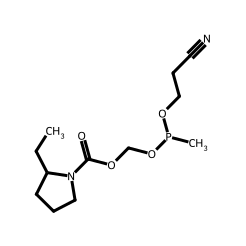 CCC1CCCN1C(=O)OCOP(C)OCCC#N